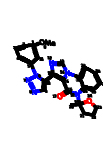 COc1cccc(-n2nncc2-c2ncn3c2c(=O)n(C2(C)CCCO2)c2ccccc23)c1